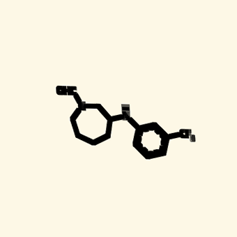 O=CN1CCCCC(Nc2cccc(C(F)(F)F)c2)C1